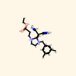 CCOC(=O)CCN1CCN(Cc2cc(C)cc(C)c2)C1=C(C#N)C#N